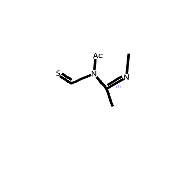 C/N=C(/C)N(C=S)C(C)=O